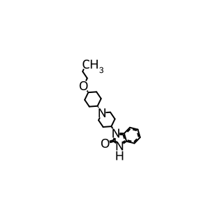 CCCO[C@H]1CC[C@H](N2CCC(n3c(=O)[nH]c4ccccc43)CC2)CC1